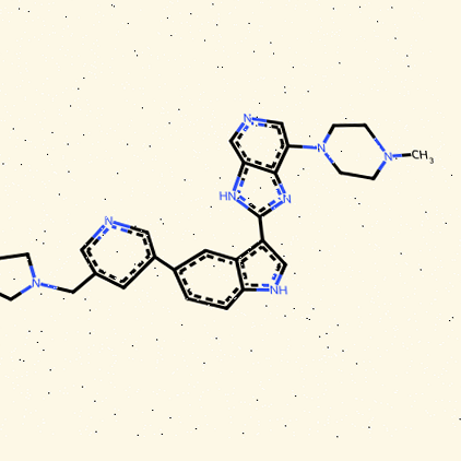 CN1CCN(c2cncc3[nH]c(-c4c[nH]c5ccc(-c6cncc(CN7CCCC7)c6)cc45)nc23)CC1